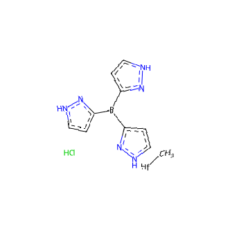 Cl.[CH3][Hf].c1cc(B(c2cc[nH]n2)c2cc[nH]n2)n[nH]1